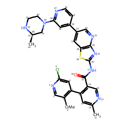 COc1cnc(Cl)cc1-c1cc(C)ncc1C(=O)Nc1nc2ncc(-c3ccnc(N4CCN[C@H](C)C4)c3)cc2s1